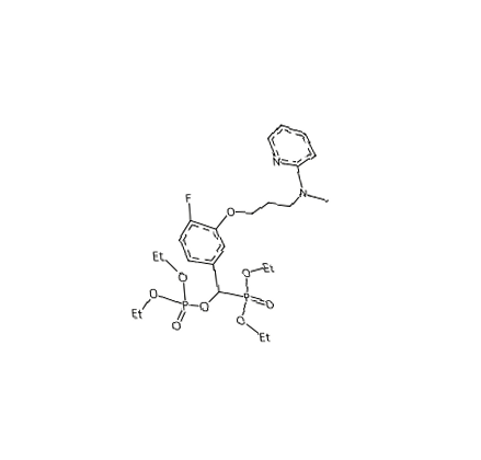 CCOP(=O)(OCC)OC(c1ccc(F)c(OCCCN(C)c2ccccn2)c1)P(=O)(OCC)OCC